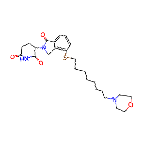 O=C1CCC(N2Cc3c(SCCCCCCCCN4CCOCC4)cccc3C2=O)C(=O)N1